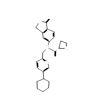 O=C1OCc2cc(N(Cc3ccc(C4CCCCC4)cn3)C(=O)[C@H]3CCN3)ccc21